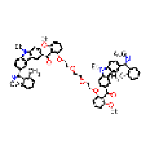 CCOc1cccc(OCCOCCOCCOc2cccc(OCC)c2C(=O)c2ccc3c(c2)c2cc(/C(=N\OC(C)=O)c4ccccc4C)ccc2n3CC)c1C(=O)c1ccc2c(c1)c1cc(/C(=N/OC(C)=O)c3ccccc3C)ccc1n2CC